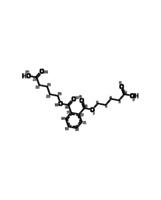 O=C(O)CCCCOC(=O)c1ccccc1C(=O)OCCCCC(=O)O